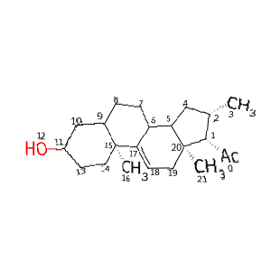 CC(=O)[C@H]1[C@@H](C)CC2C3CCC4CC(O)CC[C@]4(C)C3=CC[C@@]21C